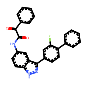 O=C(Nc1ccc2[nH]nc(-c3ccc(-c4ccccc4)c(F)c3)c2c1)C(=O)c1ccccc1